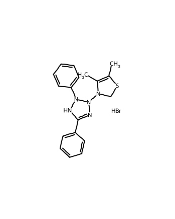 Br.CC1=C(C)N(N2N=C(c3ccccc3)NN2c2ccccc2)CS1